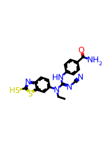 CCN(/C(=N/C#N)Nc1ccc(C(N)=O)cc1)c1ccc2nc(S)sc2c1